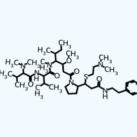 CCC(C)C(C(CC(=O)N1CCCC1C(CC(=O)NCCc1ccccc1)SCCN(C)C)OC)N(C)C(=O)C(NC(=O)C(C(C)C)N(C)C)C(C)C